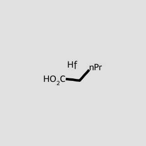 CCCCC(=O)O.[Hf]